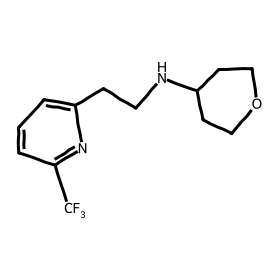 FC(F)(F)c1cccc(CCNC2CCOCC2)n1